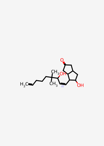 C=CCCCC(C)(C)C(O)/C=C\C1C(O)CC2CC(=O)CC21